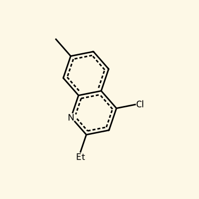 CCc1cc(Cl)c2ccc(C)cc2n1